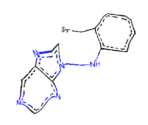 CC(C)c1ccccc1Nn1cnc2cncnc21